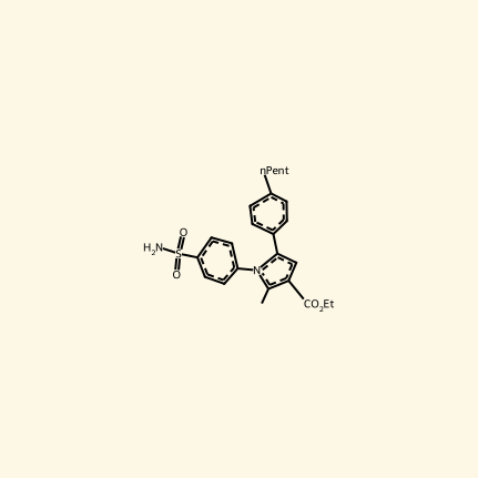 CCCCCc1ccc(-c2cc(C(=O)OCC)c(C)n2-c2ccc(S(N)(=O)=O)cc2)cc1